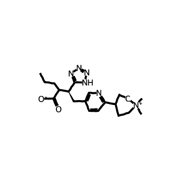 CCCC(C(=O)[O-])[C@H](Cc1ccc(C2CC[N+](C)(C)CC2)nc1)c1nnn[nH]1